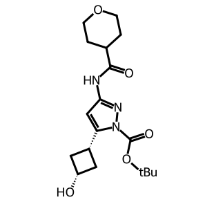 CC(C)(C)OC(=O)n1nc(NC(=O)C2CCOCC2)cc1[C@H]1C[C@@H](O)C1